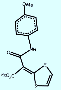 CCOC(=O)C(C(=O)Nc1ccc(OC)cc1)=C1SC=CS1